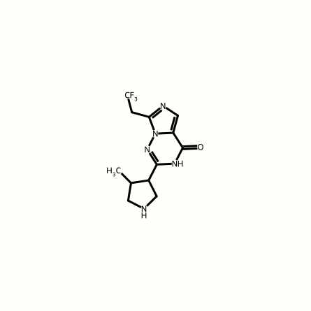 CC1CNCC1c1nn2c(CC(F)(F)F)ncc2c(=O)[nH]1